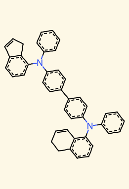 C1=Cc2c(cccc2N(c2ccccc2)c2ccc(-c3ccc(N(c4ccccc4)c4cccc5c4CC=C5)cc3)cc2)CC1